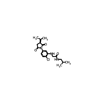 CC(C)=C1CC(=O)N(c2ccc(Cl)c(NCC(=O)NCC(C)C)c2)C1=O